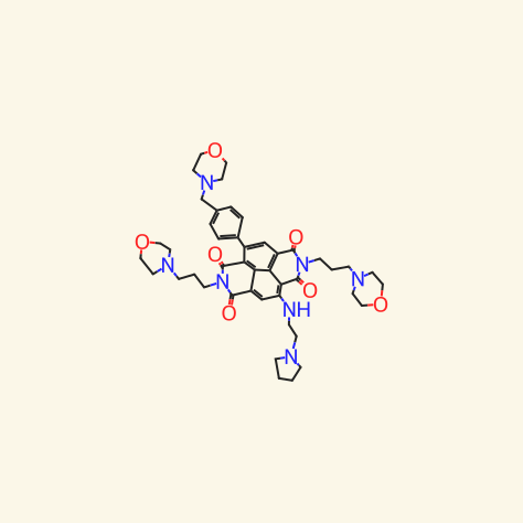 O=C1c2cc(-c3ccc(CN4CCOCC4)cc3)c3c4c(cc(NCCN5CCCC5)c(c24)C(=O)N1CCCN1CCOCC1)C(=O)N(CCCN1CCOCC1)C3=O